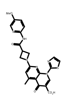 COc1ccc(NC(=O)C2CN(c3cc(C)c4c(=O)c(C(=O)O)cn(-c5nccs5)c4n3)C2)nc1